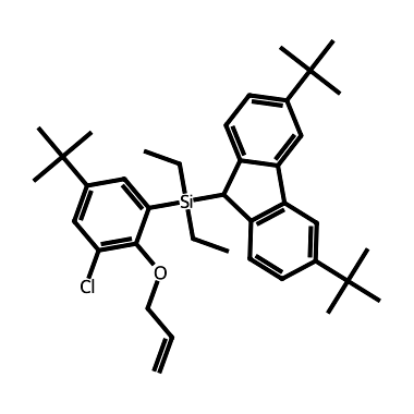 C=CCOc1c(Cl)cc(C(C)(C)C)cc1[Si](CC)(CC)C1c2ccc(C(C)(C)C)cc2-c2cc(C(C)(C)C)ccc21